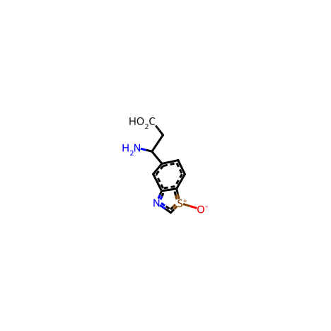 NC(CC(=O)O)c1ccc2c(c1)nc[s+]2[O-]